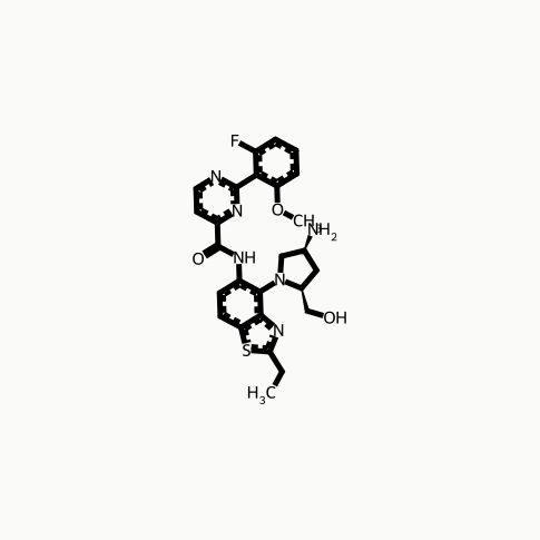 CCc1nc2c(N3C[C@@H](N)C[C@H]3CO)c(NC(=O)c3ccnc(-c4c(F)cccc4OC)n3)ccc2s1